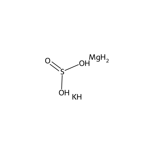 O=S(O)O.[KH].[MgH2]